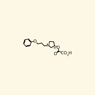 O=C(O)C(=O)O[C@@H]1CCN(CCCOc2ccccc2)C1